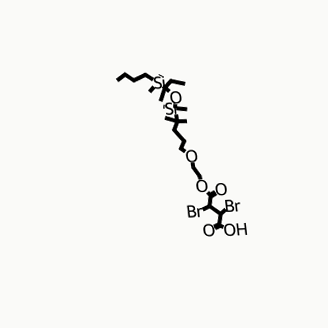 CCCC[Si](C)(C)C(C)(CC)O[Si](C)(C)C(C)(C)CCCOCCOC(=O)C(Br)C(Br)C(=O)O